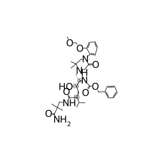 COCOc1ccccc1N1CC(C)(C)N(C[C@H](NC(=O)OCc2ccccc2)[C@@H](O)C[C@H](C(=O)NCC(C)(C)C(N)=O)C(C)C)CC1=O